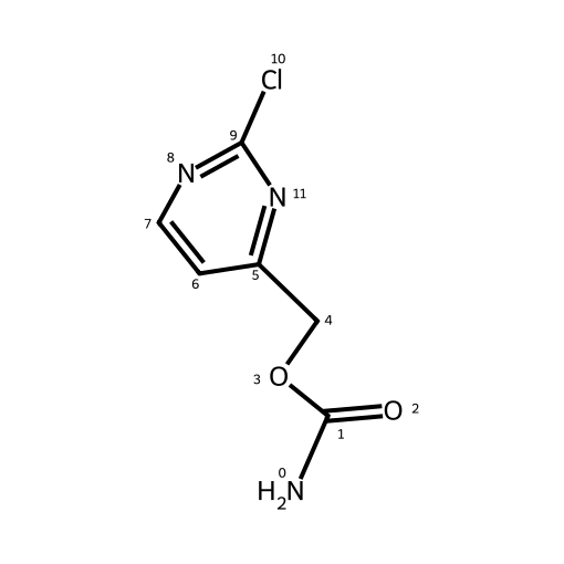 NC(=O)OCc1ccnc(Cl)n1